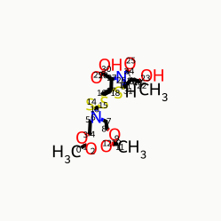 CC(=O)OCCN(CCOC(C)=O)C(=S)SC=C1S[C@@H]2[C@@H]([C@@H](C)O)C(=O)N2C1C(=O)O